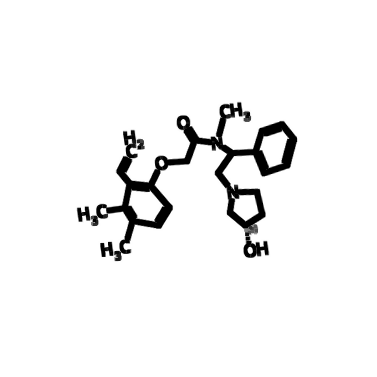 C=Cc1c(OCC(=O)N(C)C(CN2CC[C@H](O)C2)c2ccccc2)ccc(C)c1C